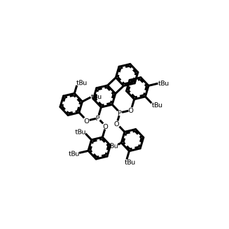 CC(C)(C)c1cccc(OP(Oc2cccc(C(C)(C)C)c2C(C)(C)C)c2ccc3c(c2P(Oc2cccc(C(C)(C)C)c2C(C)(C)C)Oc2cccc(C(C)(C)C)c2C(C)(C)C)-c2ccccc2-3)c1C(C)(C)C